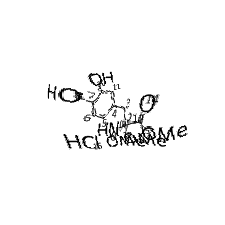 CON[C@](Cc1ccc(O)c(O)c1)(OC)C(=O)OC.Cl